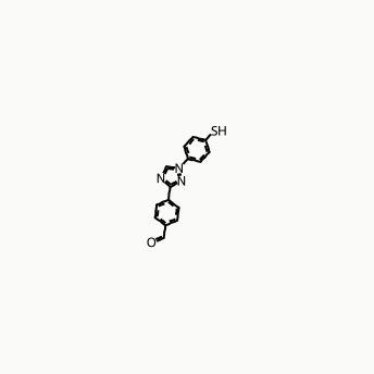 O=Cc1ccc(-c2ncn(-c3ccc(S)cc3)n2)cc1